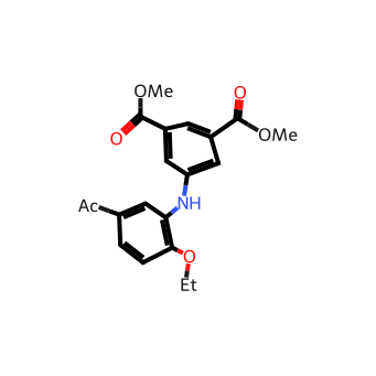 CCOc1ccc(C(C)=O)cc1Nc1cc(C(=O)OC)cc(C(=O)OC)c1